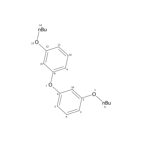 CCCCOc1cccc(Oc2cccc(OCCCC)c2)c1